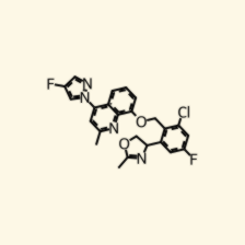 CC1=NC(c2cc(F)cc(Cl)c2COc2cccc3c(-n4cc(F)cn4)cc(C)nc23)CO1